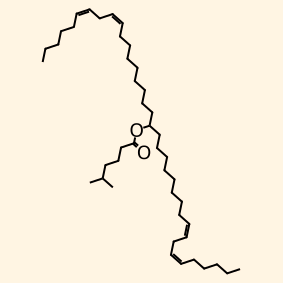 CCCCC/C=C\C/C=C\CCCCCCCCC(CCCCCCCC/C=C\C/C=C\CCCCC)OC(=O)CCCC(C)C